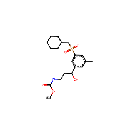 Cc1cc(C(O)CCNC(=O)OC(C)(C)C)cc(S(=O)(=O)CC2CCCCC2)c1